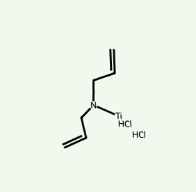 C=CC[N]([Ti])CC=C.Cl.Cl